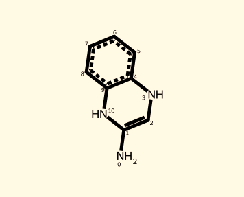 NC1=CNc2ccccc2N1